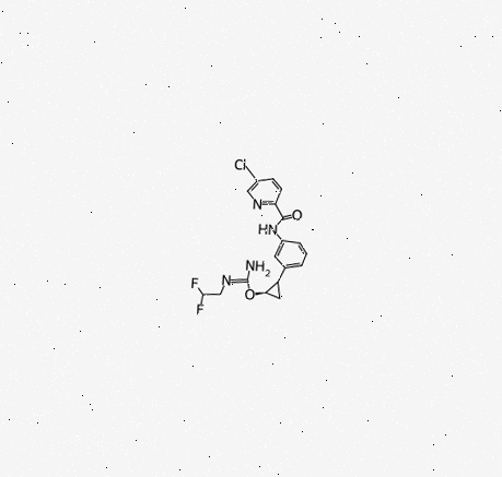 N/C(=N/CC(F)F)O[C@@H]1CC1c1cccc(NC(=O)c2ccc(Cl)cn2)c1